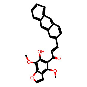 COc1c(C(=O)C=Cc2ccc3cc4ccccc4cc3c2)c(O)c(OC)c2occc12